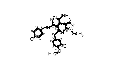 CCn1ncc2c3c(N)nnc(NCc4cc[n+]([O-])cc4)c3c(Cc3ccc(OC)c(Cl)c3)nc21